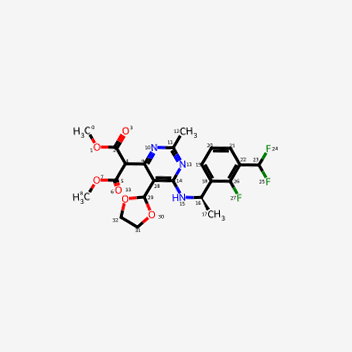 COC(=O)C(C(=O)OC)c1nc(C)nc(N[C@H](C)c2cccc(C(F)F)c2F)c1C1OCCO1